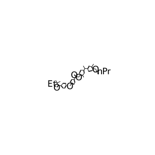 CCCC(C)(C)Oc1ccc(C(C)c2ccc(OC(=O)c3ccc(Oc4ccc(C(=O)C(C)(C)CC)cc4)cc3)c(C)c2)cc1C